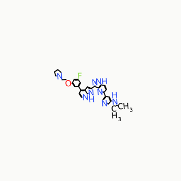 CC(C)Nc1cncc(-c2ccc3[nH]nc(-c4cc5c(-c6cc(F)cc(OCCN7CCCC7)c6)ccnc5[nH]4)c3n2)c1